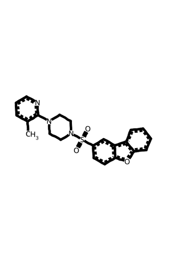 Cc1cccnc1N1CCN(S(=O)(=O)c2ccc3oc4ccccc4c3c2)CC1